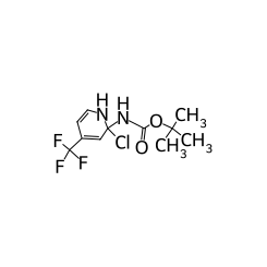 CC(C)(C)OC(=O)NC1(Cl)C=C(C(F)(F)F)C=CN1